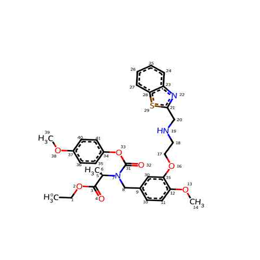 CCOC(=O)[C@@H](C)N(Cc1ccc(OC)c(OCCNCc2nc3ccccc3s2)c1)C(=O)Oc1ccc(OC)cc1